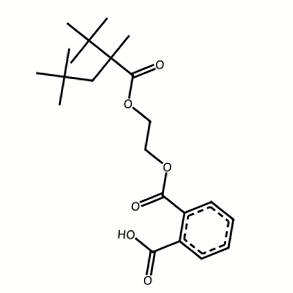 CC(C)(C)CC(C)(C(=O)OCCOC(=O)c1ccccc1C(=O)O)C(C)(C)C